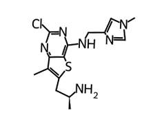 Cc1c(C[C@H](C)N)sc2c(NCc3cn(C)cn3)nc(Cl)nc12